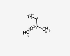 CC[CH2][Ti+3].[O-2].[OH-]